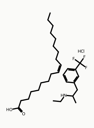 CCCCCCCC/C=C\CCCCCCCC(=O)O.CCNC(C)Cc1cccc(C(F)(F)F)c1.Cl